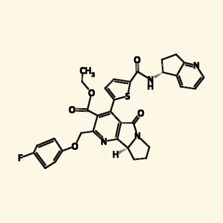 CCOC(=O)c1c(COc2ccc(F)cc2)nc2c(c1-c1ccc(C(=O)N[C@@H]3CCc4ncccc43)s1)C(=O)N1CCC[C@@H]21